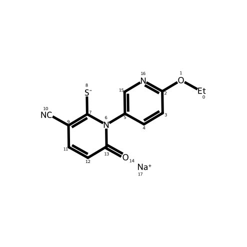 CCOc1ccc(-n2c([S-])c(C#N)ccc2=O)cn1.[Na+]